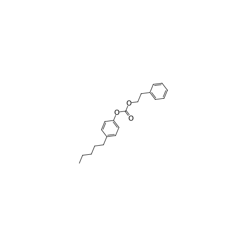 CCCCCc1ccc(OC(=O)OCCc2ccccc2)cc1